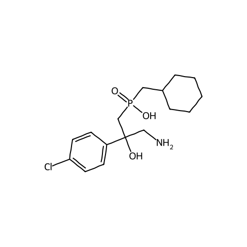 NCC(O)(CP(=O)(O)CC1CCCCC1)c1ccc(Cl)cc1